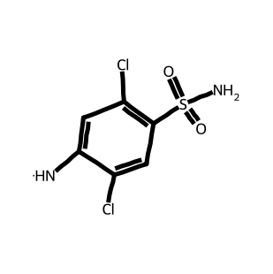 [NH]c1cc(Cl)c(S(N)(=O)=O)cc1Cl